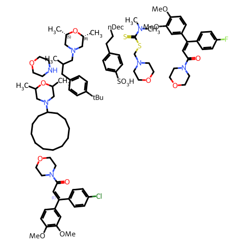 C1COCCN1.CC(Cc1ccc(C(C)(C)C)cc1)CN1C[C@@H](C)O[C@@H](C)C1.CC1CN(C2CCCCCCCCCCC2)CC(C)O1.CCCCCCCCCCCCc1ccc(S(=O)(=O)O)cc1.CN(C)C(=S)SCN1CCOCC1.COc1ccc(/C(=C/C(=O)N2CCOCC2)c2ccc(Cl)cc2)cc1OC.COc1ccc(C(=CC(=O)N2CCOCC2)c2ccc(F)cc2)cc1OC